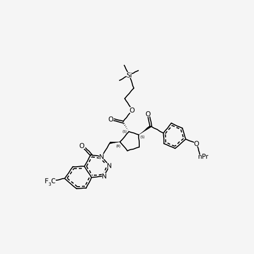 CCCOc1ccc(C(=O)[C@H]2CC[C@@H](Cn3nnc4ccc(C(F)(F)F)cc4c3=O)[C@@H]2C(=O)OCC[Si](C)(C)C)cc1